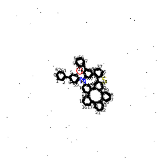 c1ccc(-c2ccc(N(c3ccc4c5ccccc5c5ccccc5c5ccccc5c5cc6sc7ccccc7c6cc5c4c3)c3cccc4c3oc3ccccc34)cc2)cc1